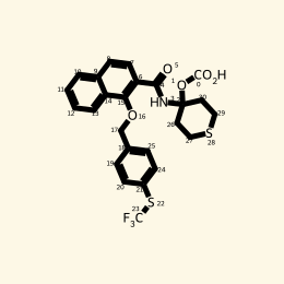 O=C(O)OC1(NC(=O)c2ccc3ccccc3c2OCc2ccc(SC(F)(F)F)cc2)CCSCC1